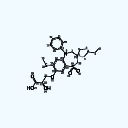 CCCC[C@@]1(CC)CN(c2ccccc2)c2cc(SC)c(OC[C@@H](O)C(=O)O)cc2S(=O)(=O)C1